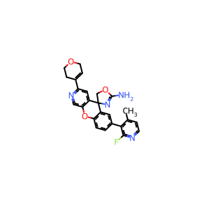 Cc1ccnc(F)c1-c1ccc2c(c1)C1(COC(N)=N1)c1cc(C3=CCOCC3)ncc1O2